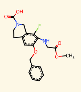 COC(=O)CNc1c(OCc2ccccc2)cc2c(c1F)CN(C(=O)O)CC2